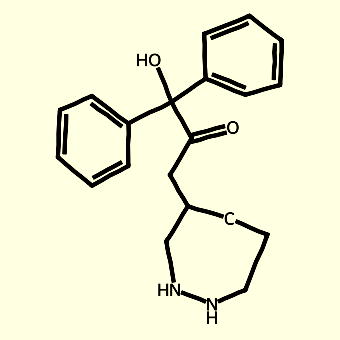 O=C(CC1CCCNNC1)C(O)(c1ccccc1)c1ccccc1